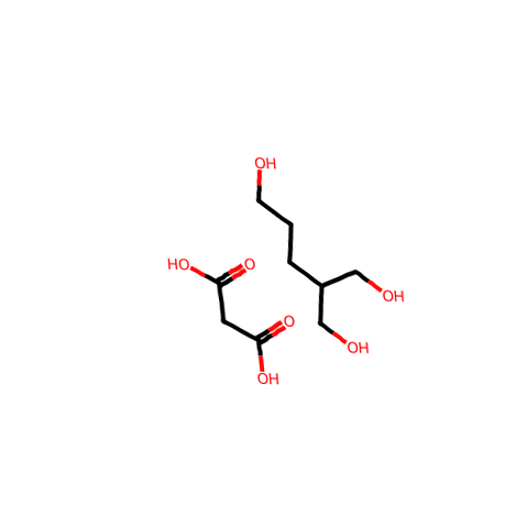 O=C(O)CC(=O)O.OCCCC(CO)CO